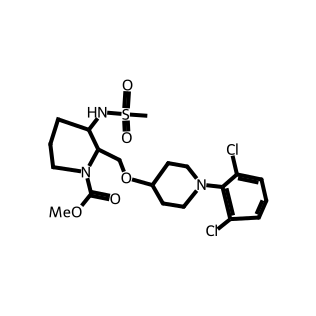 COC(=O)N1CCCC(NS(C)(=O)=O)C1COC1CCN(c2c(Cl)cccc2Cl)CC1